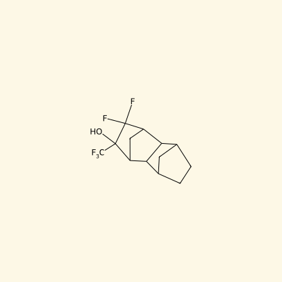 OC1(C(F)(F)F)C2CC(C3C4CCC(C4)C32)C1(F)F